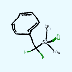 CCCC[Si](Cl)(C(F)(F)F)C(F)(F)c1ccccc1